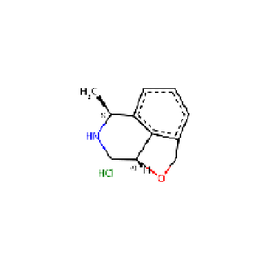 C[C@@H]1NC[C@H]2OCc3cccc1c32.Cl